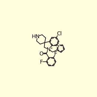 O=C(c1c(F)cccc1F)[N+]1(Cc2cccs2)CC2(CCNCC2)c2cc(Cl)ccc21